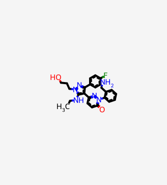 CCNc1c(-c2ccc(=O)n(-c3ccccc3CN)n2)c(-c2ccc(F)cc2)nn1CCCO